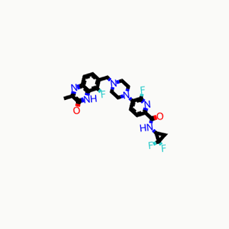 Cc1nc2ccc(CN3CCN(c4ccc(C(=O)NC5CC5(F)F)nc4F)CC3)c(F)c2[nH]c1=O